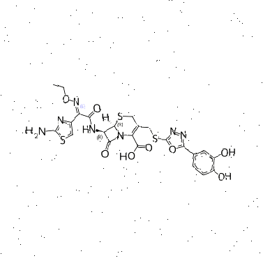 CCO/N=C(/C(=O)N[C@@H]1C(=O)N2C(C(=O)O)=C(CSc3nnc(-c4ccc(O)c(O)c4)o3)CS[C@H]12)c1csc(N)n1